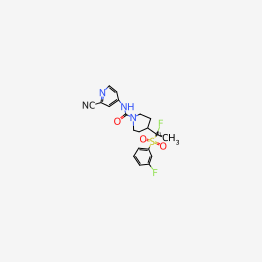 C[C@](F)(C1CCN(C(=O)Nc2ccnc(C#N)c2)CC1)S(=O)(=O)c1cccc(F)c1